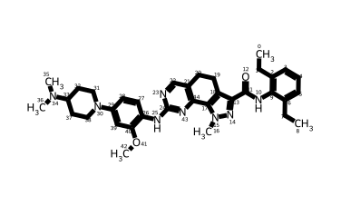 CCc1cccc(CC)c1NC(=O)c1nn(C)c2c1CCc1cnc(Nc3ccc(N4CCC(N(C)C)CC4)cc3OC)nc1-2